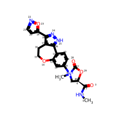 CNC(=O)[C@H]1C[N+](C)(c2ccc3c(c2)OCCc2c(-c4ccno4)n[nH]c2-3)C(=O)O1